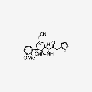 COc1ccccc1[C@]1(O)C[C@H](CC#N)C[C@H]2C(C(=O)Cc3cccs3)NC[C@H]21